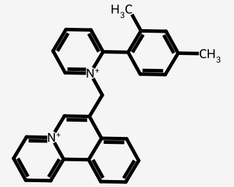 Cc1ccc(-c2cccc[n+]2Cc2c[n+]3ccccc3c3ccccc23)c(C)c1